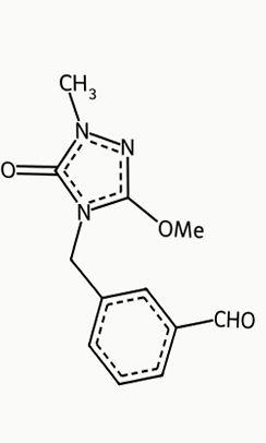 COc1nn(C)c(=O)n1Cc1cccc(C=O)c1